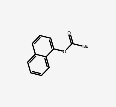 CCC(C)C(=O)Oc1cccc2ccccc12